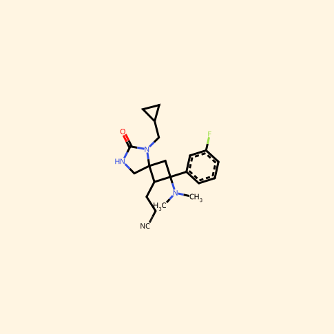 CN(C)C1(c2cccc(F)c2)CC2(CNC(=O)N2CC2CC2)C1CCC#N